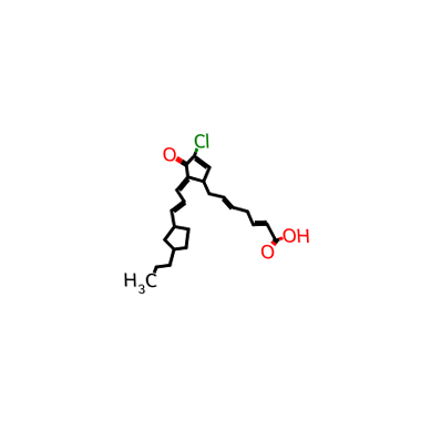 CCCC1CCC(C=CC=C2C(=O)C(Cl)=CC2CC=CCC=CC(=O)O)C1